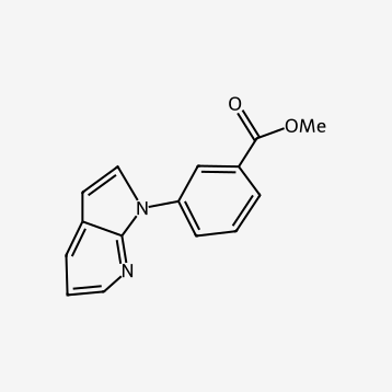 COC(=O)c1cccc(-n2ccc3cccnc32)c1